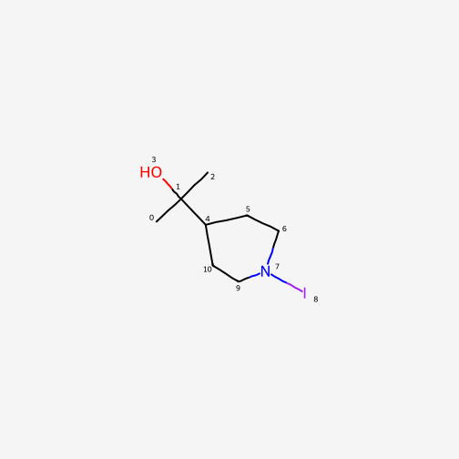 CC(C)(O)C1CCN(I)CC1